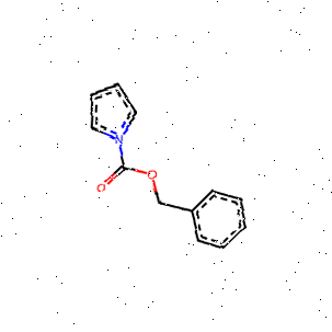 O=C(OCc1ccccc1)n1cccc1